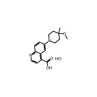 COC1(C)CCN(c2ccc3nccc(C(=O)O)c3c2)CC1.Cl